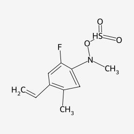 C=Cc1cc(F)c(N(C)O[SH](=O)=O)cc1C